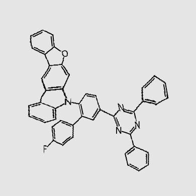 Fc1ccc(-c2cc(-c3nc(-c4ccccc4)nc(-c4ccccc4)n3)ccc2-n2c3ccccc3c3cc4c(cc32)oc2ccccc24)cc1